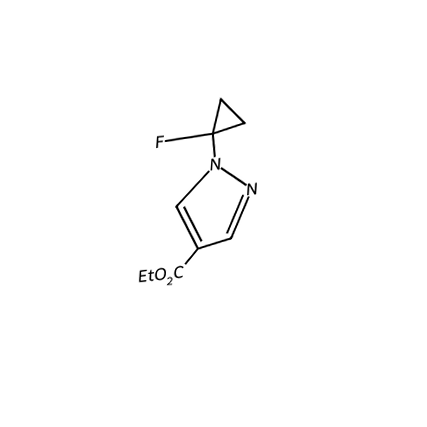 CCOC(=O)c1cnn(C2(F)CC2)c1